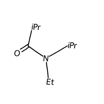 CCN(C(=O)C(C)C)C(C)C